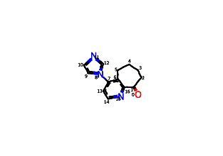 O=C1CCCCc2c(-n3ccnc3)ccnc21